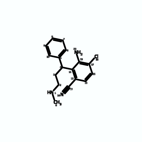 CNCCC(c1ccccc1)c1c(C#N)ccc(Cl)c1N